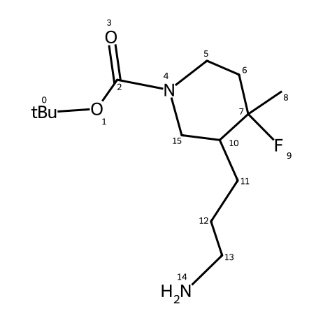 CC(C)(C)OC(=O)N1CCC(C)(F)C(CCCN)C1